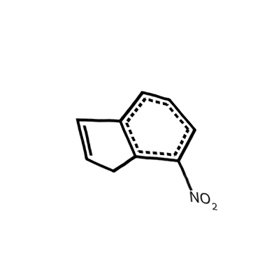 O=[N+]([O-])c1cccc2c1CC=C2